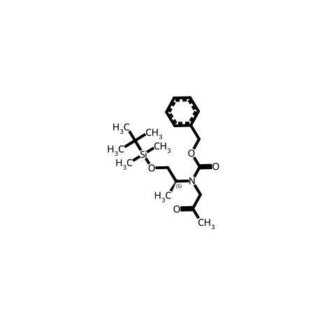 CC(=O)CN(C(=O)OCc1ccccc1)[C@@H](C)CO[Si](C)(C)C(C)(C)C